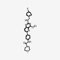 CCOc1nc(NCc2ccc(F)cc2)nc2ccc(-c3ccc(NC(=O)N4CCOCC4)cc3)nc12